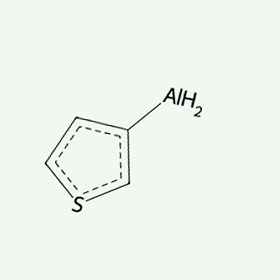 [AlH2][c]1ccsc1